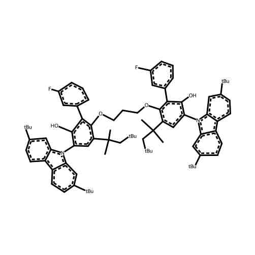 CC(C)(C)CC(C)(C)c1cc(-n2c3cc(C(C)(C)C)ccc3c3ccc(C(C)(C)C)cc32)c(O)c(-c2cccc(F)c2)c1OCCCOc1c(C(C)(C)CC(C)(C)C)cc(-n2c3cc(C(C)(C)C)ccc3c3ccc(C(C)(C)C)cc32)c(O)c1-c1cccc(F)c1